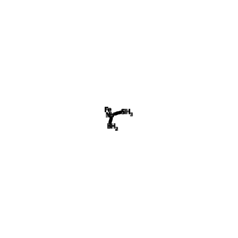 [BH2][Nb][SiH3].[Fe]